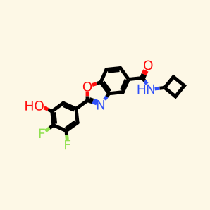 O=C(NC1CCC1)c1ccc2oc(-c3cc(O)c(F)c(F)c3)nc2c1